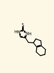 S=c1[nH]cc(CC2CCC3=C2CCCC3)[nH]1